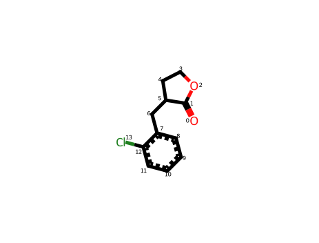 O=C1OCCC1Cc1ccccc1Cl